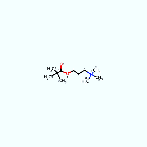 CC(C)(C)C(=O)OCCC[N+](C)(C)C